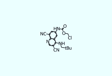 CC(C)(C)CNc1c(C#N)cnc2c(C#N)cc(NC(=O)OCCl)cc12